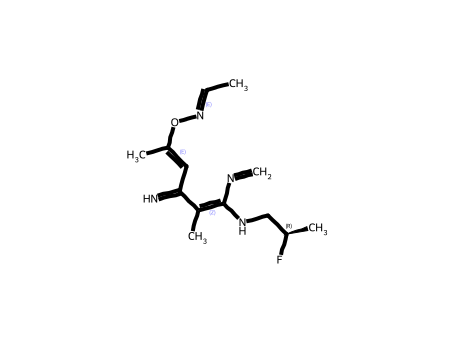 C=N/C(NC[C@@H](C)F)=C(/C)C(=N)/C=C(\C)O/N=C/C